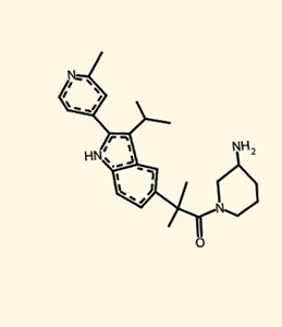 Cc1cc(-c2[nH]c3ccc(C(C)(C)C(=O)N4CCCC(N)C4)cc3c2C(C)C)ccn1